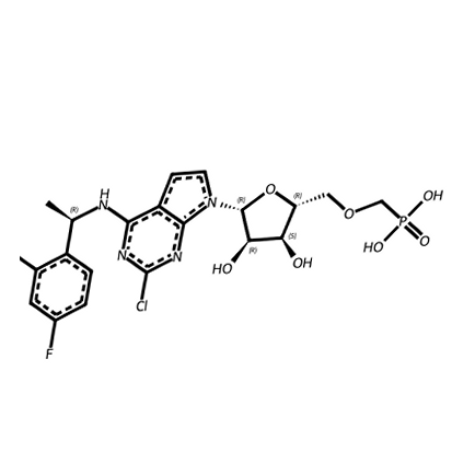 C[C@@H](Nc1nc(Cl)nc2c1ccn2[C@@H]1O[C@H](COCP(=O)(O)O)[C@@H](O)[C@H]1O)c1ccc(F)cc1F